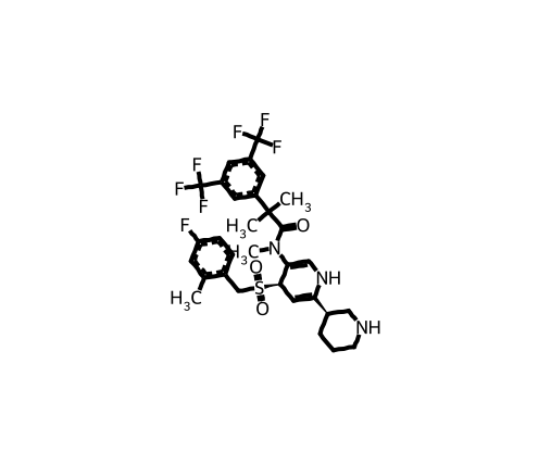 Cc1cc(F)ccc1CS(=O)(=O)[C@@H]1C=C([C@@H]2CCCNC2)NC=C1N(C)C(=O)C(C)(C)c1cc(C(F)(F)F)cc(C(F)(F)F)c1